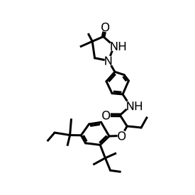 CCC(Oc1ccc(C(C)(C)CC)cc1C(C)(C)CC)C(=O)Nc1ccc(N2CC(C)(C)C(=O)N2)cc1